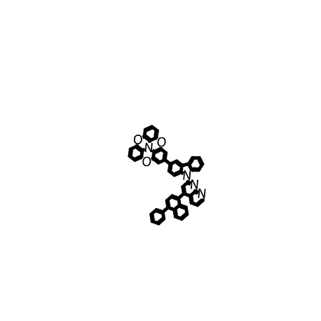 c1ccc(-c2ccc(-c3cc(-n4c5ccccc5c5cc(-c6cc7c8c(c6)Oc6cccc9c6N8c6c(cccc6O7)O9)ccc54)nc4ncccc34)c3ccccc23)cc1